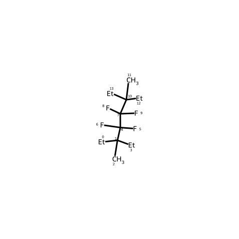 CCC(C)(CC)C(F)(F)C(F)(F)C(C)(CC)CC